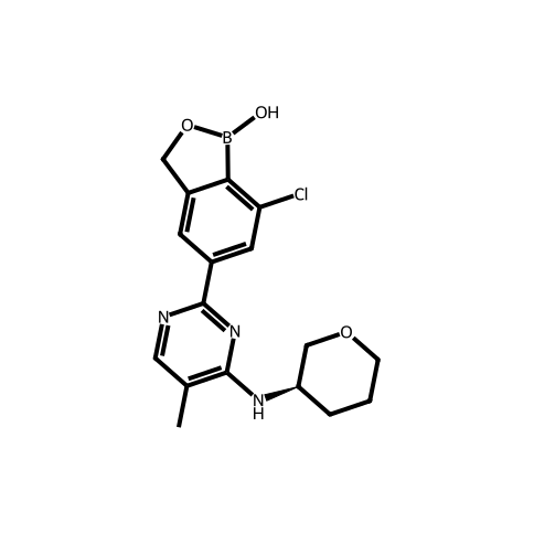 Cc1cnc(-c2cc(Cl)c3c(c2)COB3O)nc1N[C@@H]1CCCOC1